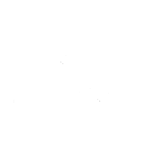 CN(CCCC(C#N)(c1ccc(Cl)cc1)C1CC1)CCc1ccc(F)cc1